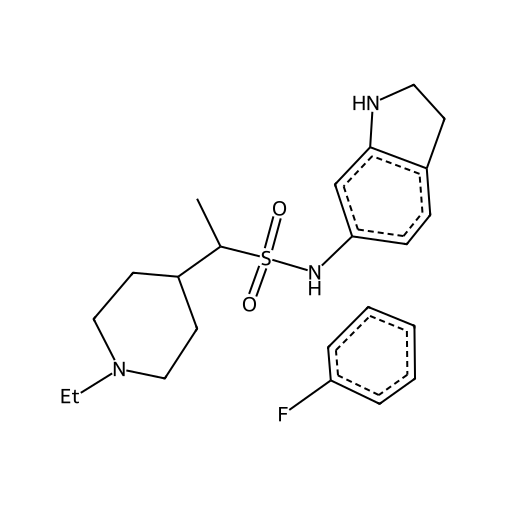 CCN1CCC(C(C)S(=O)(=O)Nc2ccc3c(c2)NCC3)CC1.Fc1ccccc1